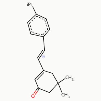 CC(C)c1ccc(/C=C/C2=CC(=O)CC(C)(C)C2)cc1